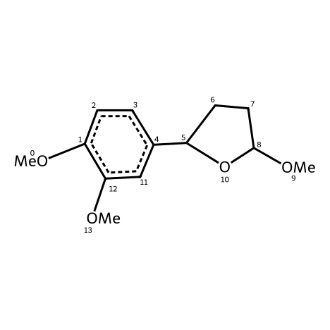 COc1ccc(C2CCC(OC)O2)cc1OC